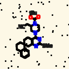 CSc1nc2c(c(N3CCN(C(=O)OC(C)(C)C)C(CC#N)C3)n1)CCC1(CCCc3ccccc31)C2